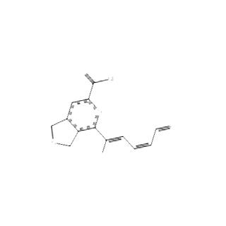 C=C/C=C\C=C(/C)c1nc(C(N)=O)cc2c1CNC2